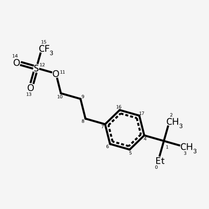 CCC(C)(C)c1ccc(CCCOS(=O)(=O)C(F)(F)F)cc1